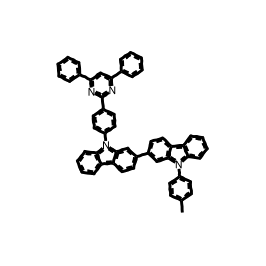 Cc1ccc(-n2c3ccccc3c3ccc(-c4ccc5c6ccccc6n(-c6ccc(-c7nc(-c8ccccc8)cc(-c8ccccc8)n7)cc6)c5c4)cc32)cc1